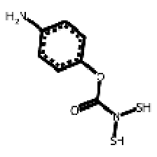 Nc1ccc(OC(=O)N(S)S)cc1